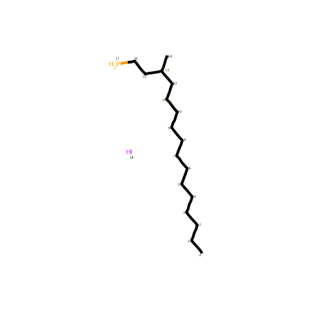 CCCCCCCCCCCCCC(C)CCP.I